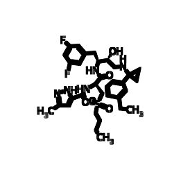 CCCCS(=O)(=O)C[C@@H](NC(=O)c1cc(C)n[nH]1)C(=O)N[C@@H](Cc1cc(F)cc(F)c1)[C@H](O)CNC1(c2cccc(CC)c2)CC1